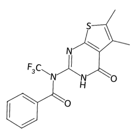 Cc1sc2nc(N(C(=O)c3ccccc3)C(F)(F)F)[nH]c(=O)c2c1C